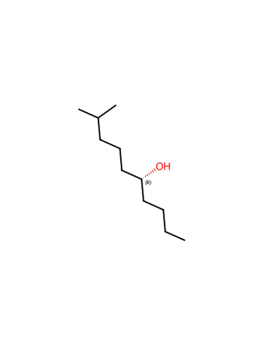 CCCC[C@@H](O)CCCC(C)C